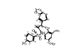 CCCc1cc(C=O)ccc1OC(C(=O)NS(=O)(=O)c1ccc(C(C)C)cc1)c1ccc2c(c1)OCO2